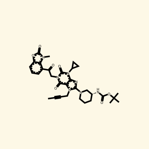 CC#CCn1c(N2CCC[C@@H](NC(=O)OC(C)(C)C)C2)nc2c1c(=O)n(CC(=O)c1cccc3oc(=O)n(C)c13)c(=O)n2C1CC1